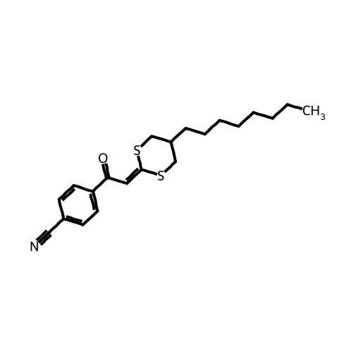 CCCCCCCCC1CSC(=CC(=O)c2ccc(C#N)cc2)SC1